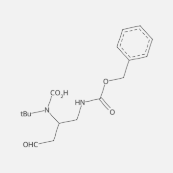 CC(C)(C)N(C(=O)O)C(CC=O)CNC(=O)OCc1ccccc1